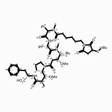 CCCCSC1CC(=O)N(CCCCCC(=O)N(C)C(C(=O)N[C@H](C(=O)N(C)[C@@H]([C@@H](C)CC)[C@@H](CC(=O)N2CCC[C@H]2[C@H](OC)[C@@H](C)C(=O)N[C@@H](Cc2ccccc2)C(=O)O)OC)C(C)C)C(C)C)C1=O